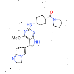 COc1nc(N[C@H]2CC[C@@H](C(=O)N3CCCC3)CC2)nc2[nH]cc(-c3ccc4nccn4c3)c12